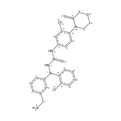 NCc1cccc(N(NC(=O)Nc2ccc(N3CCOCC3=O)c(C(F)(F)F)c2)c2ccccc2Cl)c1